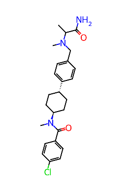 CC(C(N)=O)N(C)Cc1ccc([C@H]2CC[C@H](N(C)C(=O)c3ccc(Cl)cc3)CC2)cc1